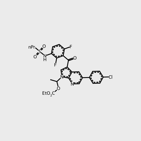 CCCS(=O)(=O)Nc1ccc(F)c(C(=O)c2cn(C(C)OC(=O)OCC)c3ncc(-c4ccc(Cl)cc4)cc23)c1F